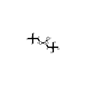 CC(C)(C)COS(=O)CC(C)(C)C